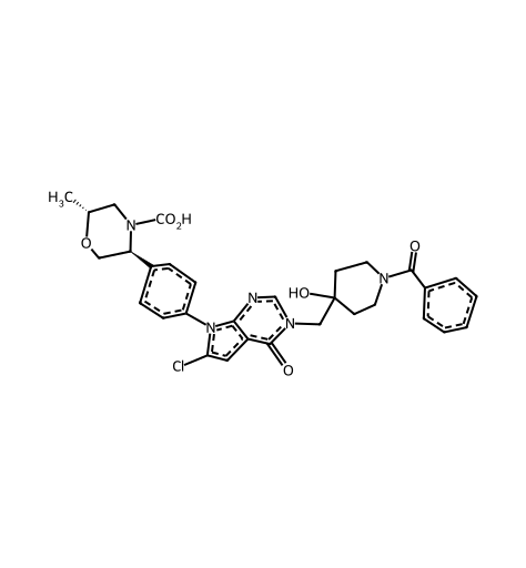 C[C@@H]1CN(C(=O)O)[C@@H](c2ccc(-n3c(Cl)cc4c(=O)n(CC5(O)CCN(C(=O)c6ccccc6)CC5)cnc43)cc2)CO1